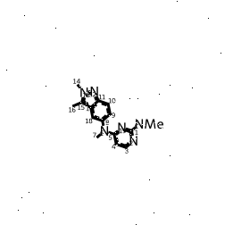 CNc1nccc(N(C)c2ccc3nn(C)c(C)c3c2)n1